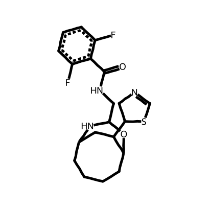 O=C(NCC1NC2CCCCC(O1)C(C1CN=CS1)C2)c1c(F)cccc1F